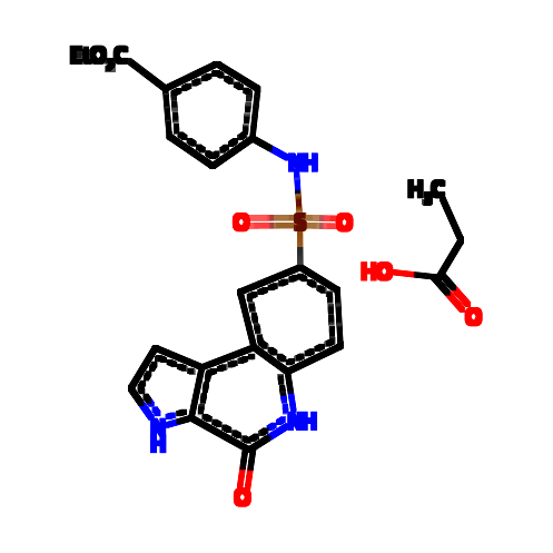 CCC(=O)O.CCOC(=O)c1ccc(NS(=O)(=O)c2ccc3[nH]c(=O)c4[nH]ccc4c3c2)cc1